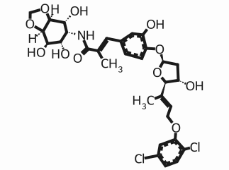 CC(=Cc1ccc(O[C@H]2C[C@H](O)[C@@H](C(C)=CCOc3cc(Cl)ccc3Cl)O2)c(O)c1)C(=O)N[C@@H]1[C@H](O)[C@@H](O)[C@H]2OCO[C@H]2[C@@H]1O